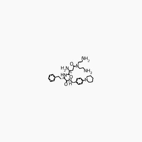 NCCN(CCN)C(=O)C[C@H](N)C(=O)N[C@@H](CCc1ccccc1)C(=O)NCc1ccc(N2CCCCC2)cc1